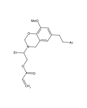 C=CC(=O)OCC(CC)N1COc2c(cc(CCC(C)=O)cc2OC)C1